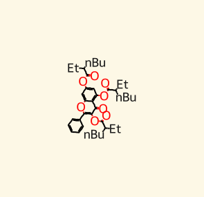 CCCCC(CC)C(=O)Oc1cc(OC(=O)C(CC)CCCC)c2c(=O)c(OC(=O)C(CC)CCCC)c(-c3ccccc3)oc2c1